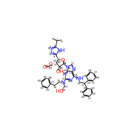 CC(C)c1nnc([C@H]2O[C@@H](n3cnc4c(NCC(c5ccccc5)c5ccccc5)nc(N(CO)CCc5ccccc5)nc43)[C@H](O)[C@@H]2OC=O)[nH]1